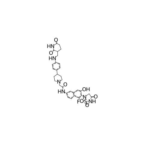 O=C1CCC(CNc2ccc(C3CCN(CC(=O)Nc4ccc5c(F)c(N6CC(=O)NS6(=O)=O)c(O)cc5c4)CC3)cc2)C(=O)N1